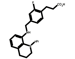 CCCN1CCCc2cccc(NCc3ccc(CCC(=O)O)c(F)c3)c21